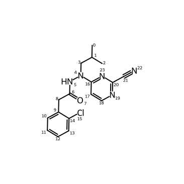 CC(C)CN(NC(=O)Cc1ccccc1Cl)c1ccnc(C#N)n1